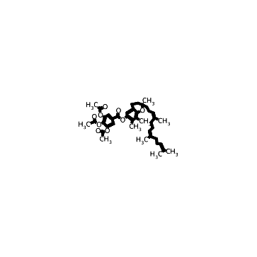 CC(=O)Oc1cc(C(=O)Oc2cc3c(c(C)c2C)O[C@](C)(CCC=C(C)CCC=C(C)CCC=C(C)C)CC3)cc(OC(C)=O)c1OC(C)=O